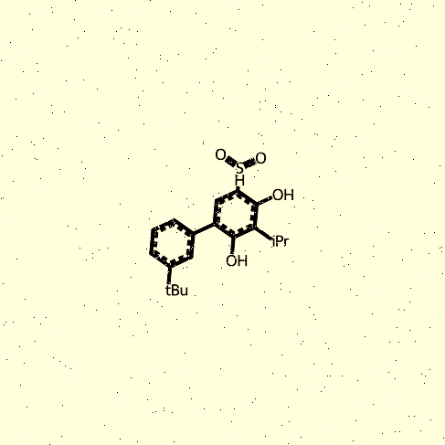 CC(C)c1c(O)c(-c2cccc(C(C)(C)C)c2)cc([SH](=O)=O)c1O